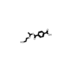 CC(OCCO)OC(=O)c1ccc(C(=O)O)cc1